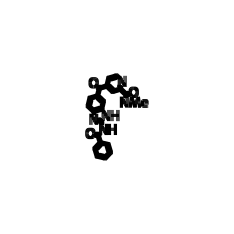 CNC(=O)c1cc(C(=O)c2ccc3nc(NC(=O)c4ccccc4)[nH]c3c2)ccn1